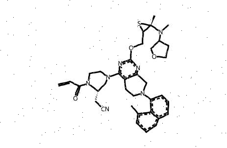 C=CC(=O)N1CCN(c2nc(OCC3S[C@]3(C)N(C)C3CCOC3)nc3c2CCN(c2cccc4cccc(C)c24)C3)C[C@@H]1CC#N